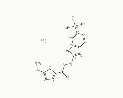 Cl.NCc1ccc(C(=O)CSc2nc3ccc(C(F)(F)F)nc3o2)s1